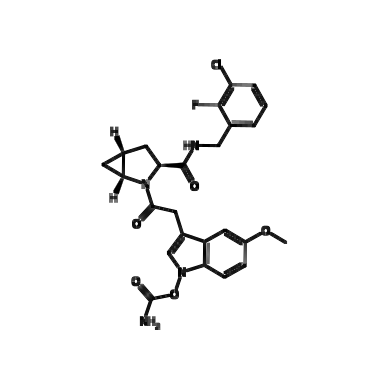 COc1ccc2c(c1)c(CC(=O)N1[C@@H]3C[C@@H]3C[C@H]1C(=O)NCc1cccc(Cl)c1F)cn2OC(N)=O